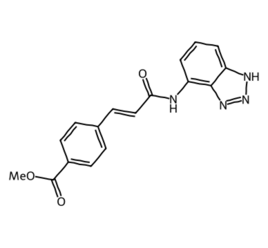 COC(=O)c1ccc(C=CC(=O)Nc2cccc3[nH]nnc23)cc1